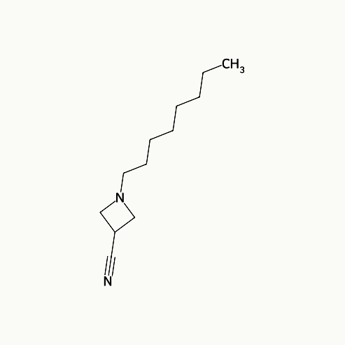 CCCCCCCCN1CC(C#N)C1